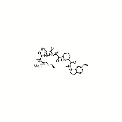 C=CCC[C@@H](OC)[C@@H](C)C(=O)N[C@H](C(=O)N[C@@H](C)C(=O)N1CCCC(C(=O)N(C)[C@@H]2CCc3ccc(C=C)cc32)N1)C(C)C